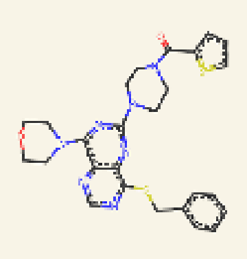 O=C(c1cccs1)N1CCN(c2nc(N3CCOCC3)c3ncnc(SCc4ccccc4)c3n2)CC1